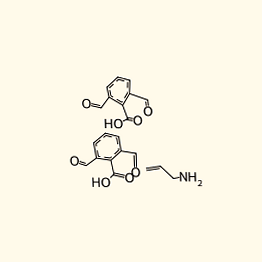 C=CCN.O=Cc1cccc(C=O)c1C(=O)O.O=Cc1cccc(C=O)c1C(=O)O